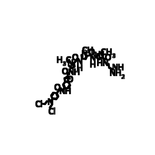 Cn1cc(NC(=O)c2cc(NC(=O)c3cc(NC(=O)c4cc5cc(NC(=O)c6ccc(N(CCCl)CCCl)cc6)ccc5o4)cn3C)cn2C)cc1C(=O)NCCC(=N)N